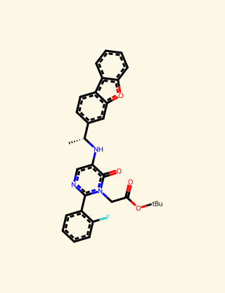 C[C@@H](Nc1cnc(-c2ccccc2F)n(CC(=O)OC(C)(C)C)c1=O)c1ccc2c(c1)oc1ccccc12